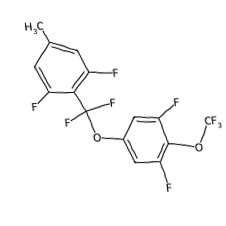 Cc1cc(F)c(C(F)(F)Oc2cc(F)c(OC(F)(F)F)c(F)c2)c(F)c1